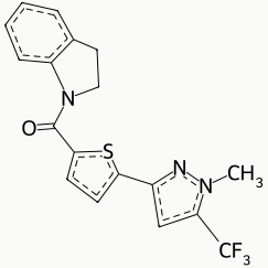 Cn1nc(-c2ccc(C(=O)N3CCc4ccccc43)s2)cc1C(F)(F)F